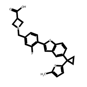 Cc1ccc(C2(c3ccc4sc(-c5ccc(CN6CC(C(=O)O)C6)cc5F)cc4c3)CC2)s1